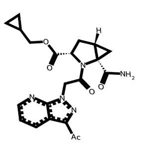 CC(=O)c1nn(CC(=O)N2[C@H](C(=O)OCC3CC3)C[C@@H]3C[C@]32C(N)=O)c2ncccc12